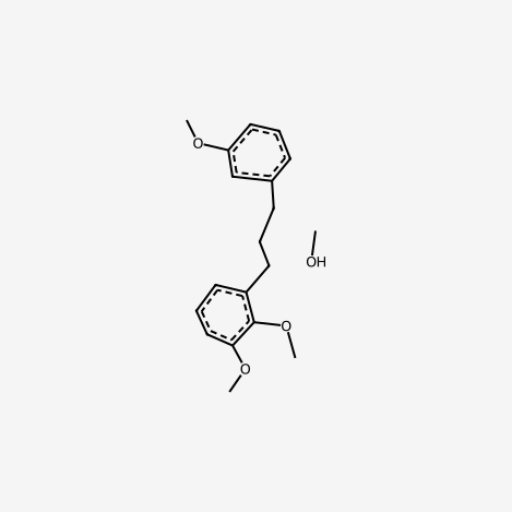 CO.COc1cccc(CCCc2cccc(OC)c2OC)c1